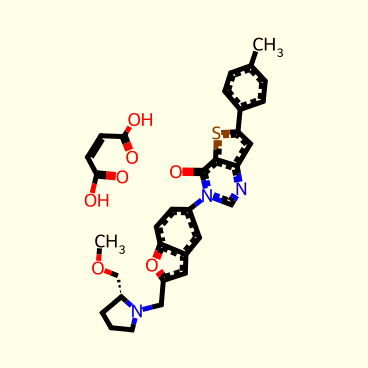 COC[C@H]1CCCN1Cc1cc2cc(-n3cnc4cc(-c5ccc(C)cc5)sc4c3=O)ccc2o1.O=C(O)/C=C\C(=O)O